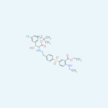 CCNc1ccc(S(=O)(=O)c2ccc(CCNC(C(=O)OC(C)(C)C)[C@H](O)c3cccc(Cl)c3)cc2)cc1C(=O)OCC